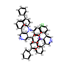 Clc1cc(N(c2ccc(-c3ccccc3)cc2)c2c(-c3ccccc3)cncc2-c2ccccc2)cc(N(c2ccc(-c3ccccc3)cc2)c2c(-c3ccccc3)cncc2-c2ccccc2)c1